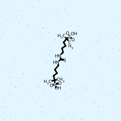 CC(C)(CCCCNC(=S)NCCCCC(C)(C)S(=O)(=O)O)S(=O)(=O)O